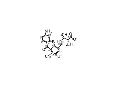 CC[C@@H](NC(C)CC(=O)[O-])c1ccc(Cl)c(C(=O)c2ccc(N)nc2)c1F.[Li+]